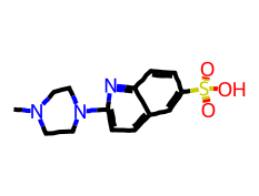 CN1CCN(c2ccc3cc(S(=O)(=O)O)ccc3n2)CC1